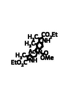 CCOC(=O)c1[nH]c(Cc2cc3c(C)c4c(C)c(C(=O)OCC)[nH]c4cc3n2C(=O)OC)c(C(C)=O)c1C